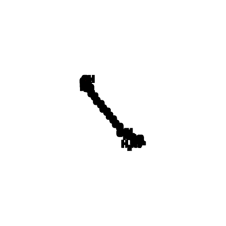 CCCC(CCC)C(=O)C1=Cc2ccc(-c3cnc(CNC(=O)CCOCCOCCOCCOCCOCCOCCOCCOCCOCCOCCC(=O)Oc4c(F)c(F)c(S(=O)(=O)O)c(F)c4F)nc3)cc2N=C(N)C1